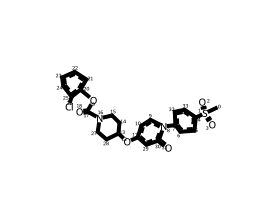 CS(=O)(=O)c1ccc(-n2ccc(OC3CCN(C(=O)Oc4ccccc4Cl)CC3)cc2=O)cc1